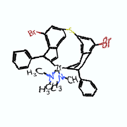 C[N](C)[Zr]1([N](C)C)[C]2=Cc3cc(cc(Br)c3C2c2ccccc2)Sc2cc(Br)c3c(c2)C=[C]1C3c1ccccc1